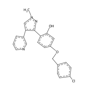 Cn1cc(-c2cccnc2)c(-c2ccc(OCc3ccc(Cl)cc3)cc2O)n1